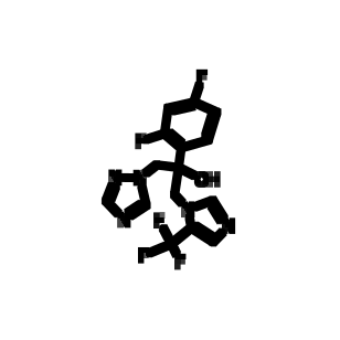 OC(Cn1cncn1)(Cn1cncc1C(F)(F)F)c1ccc(F)cc1F